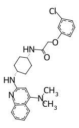 CN(C)c1cc(N[C@H]2CC[C@@H](NC(=O)COc3cccc(Cl)c3)CC2)nc2ccccc12